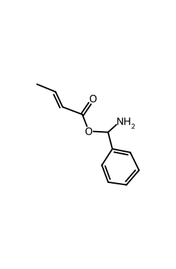 C/C=C/C(=O)OC(N)c1ccccc1